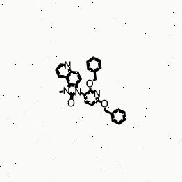 Cn1c(=O)n(-c2ccc(OCc3ccccc3)nc2OCc2ccccc2)c2ccc3ncccc3c21